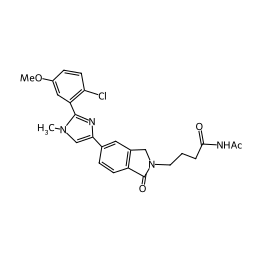 COc1ccc(Cl)c(-c2nc(-c3ccc4c(c3)CN(CCCC(=O)NC(C)=O)C4=O)cn2C)c1